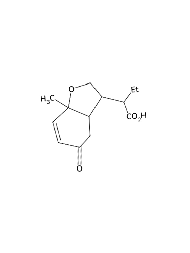 CCC(C(=O)O)C1COC2(C)C=CC(=O)CC12